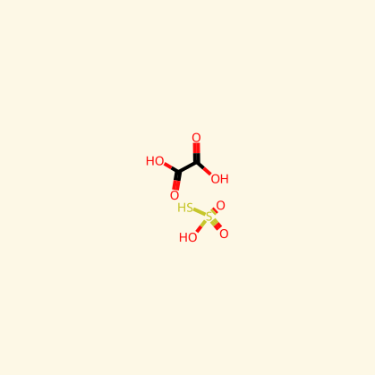 O=C(O)C(=O)O.O=S(=O)(O)S